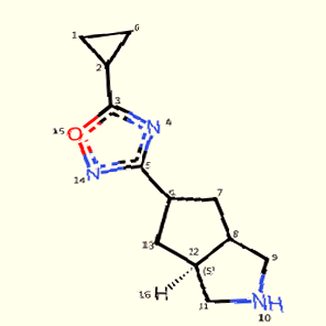 C1CC1c1nc(C2CC3CNC[C@H]3C2)no1